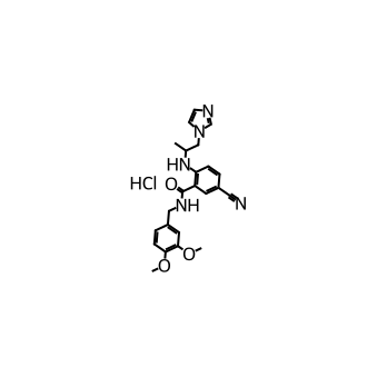 COc1ccc(CNC(=O)c2cc(C#N)ccc2NC(C)Cn2ccnc2)cc1OC.Cl